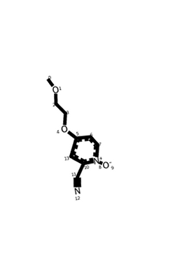 COCCOc1cc[n+]([O-])c(C#N)c1